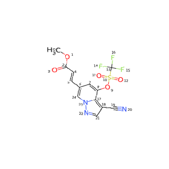 COC(=O)/C=C/c1cc(OS(=O)(=O)C(F)(F)F)c2c(C#N)cnn2c1